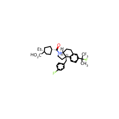 CC[C@]1(C(=O)O)CC[C@H](C(=O)N2CC[C@@]3(Cc4ccc(F)cc4)c4ccc(C(C)(F)C(F)(F)F)cc4CC[C@@H]23)CC1